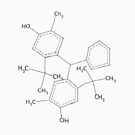 Cc1cc(C(c2ccccc2)c2cc(C)c(O)cc2C(C)(C)C)c(C(C)(C)C)cc1O